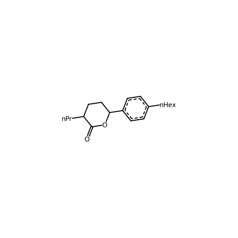 CCCCCCc1ccc(C2CCC(CCC)C(=O)O2)cc1